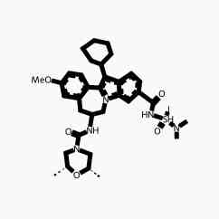 COc1ccc2c(c1)CC(NC(=O)N1C[C@@H](C)O[C@@H](C)C1)Cn1c-2c(C2CCCCC2)c2ccc(C(=O)N[SH](=O)(I)N(C)C)cc21